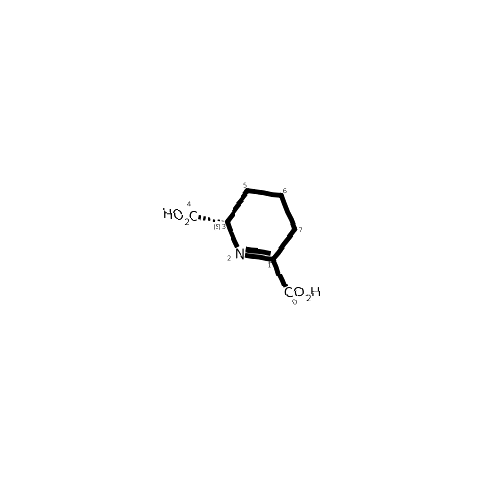 O=C(O)C1=N[C@H](C(=O)O)CCC1